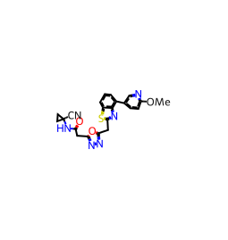 COc1ccc(-c2cccc3sc(Cc4nnc(CC(=O)NC5(C#N)CC5)o4)nc23)cn1